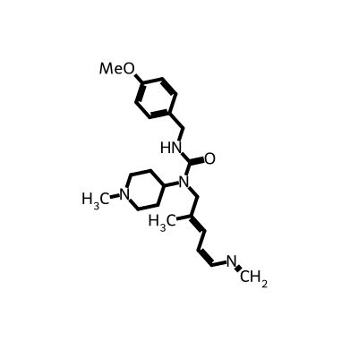 C=N/C=C\C=C(/C)CN(C(=O)NCc1ccc(OC)cc1)C1CCN(C)CC1